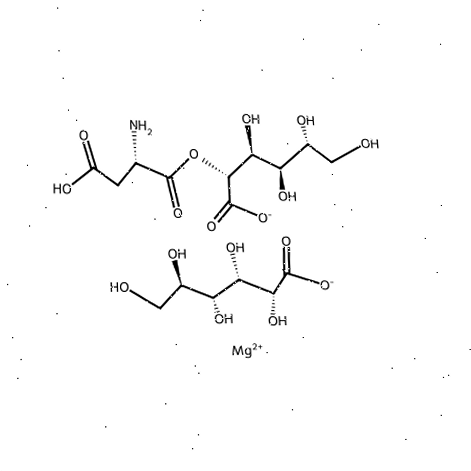 N[C@@H](CC(=O)O)C(=O)O[C@@H](C(=O)[O-])[C@@H](O)[C@H](O)[C@H](O)CO.O=C([O-])[C@H](O)[C@@H](O)[C@H](O)[C@H](O)CO.[Mg+2]